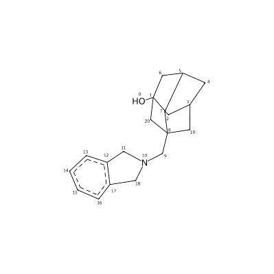 OC12CC3CC(C1)CC(CN1Cc4ccccc4C1)(C3)C2